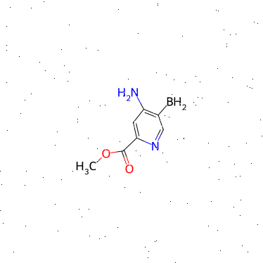 Bc1cnc(C(=O)OC)cc1N